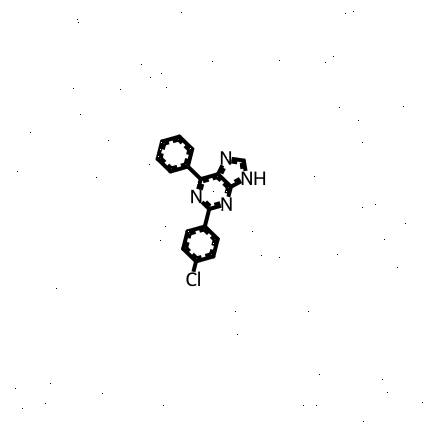 Clc1ccc(-c2nc(-c3ccccc3)c3nc[nH]c3n2)cc1